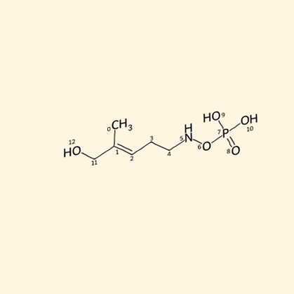 C/C(=C\CCNOP(=O)(O)O)CO